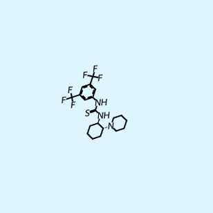 FC(F)(F)c1cc(NC(=S)N[C@@H]2CCCC[C@H]2N2CCCCC2)cc(C(F)(F)F)c1